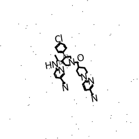 CC(Nc1ccc(C#N)cn1)[C@H]1CCN(C(=O)C2CCN(c3ccc(C#N)cn3)CC2)C[C@@H]1c1ccc(Cl)cc1